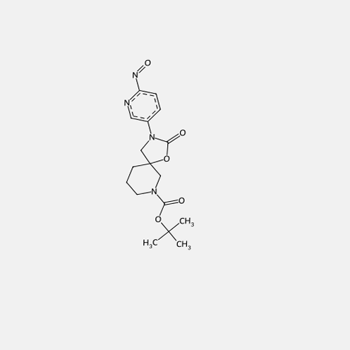 CC(C)(C)OC(=O)N1CCCC2(C1)CN(c1ccc(N=O)nc1)C(=O)O2